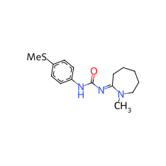 CSc1ccc(NC(=O)N=C2CCCCCN2C)cc1